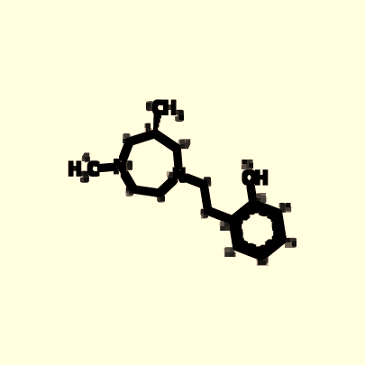 C[C@H]1CN(C)CCN(CCc2ccccc2O)C1